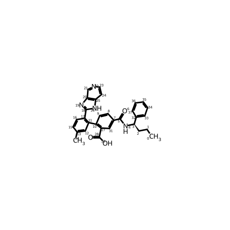 CCC[C@@H](NC(=O)c1ccc(-c2cc(C)ccc2-c2nc3cnccc3[nH]2)c(C(=O)O)c1)c1ccccc1